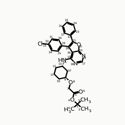 CC(C)(C)OC(=O)CO[C@H]1CCC[C@H](Nc2ncnc3oc(-c4ccccc4)c(-c4ccc(Cl)cc4)c23)C1